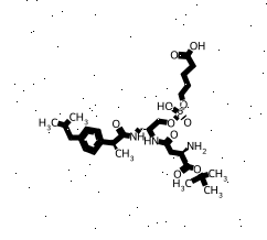 CC(C)Cc1ccc([C@H](C)C(=O)NC[C@H](COP(=O)(O)OCCCCC(=O)O)NC(=O)C[C@@H](N)C(=O)OC(C)(C)C)cc1